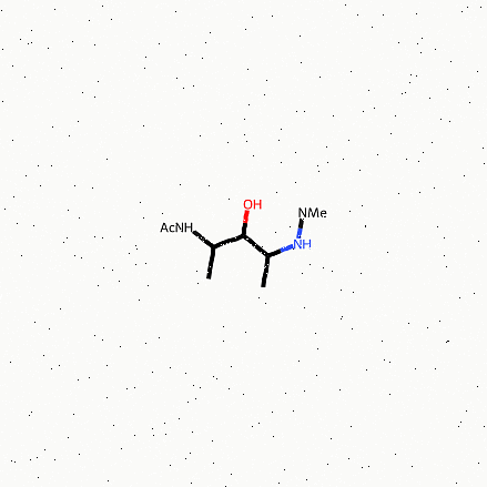 CNNC(C)C(O)C(C)NC(C)=O